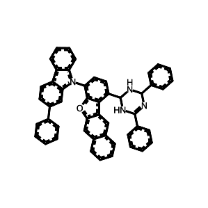 c1ccc(C2=NC(c3ccccc3)NC(c3ccc(-n4c5ccccc5c5ccc(-c6ccccc6)cc54)c4oc5cc6ccccc6cc5c34)N2)cc1